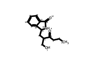 CCCC(=O)C(CO)CC1NC(=O)c2ccccc21